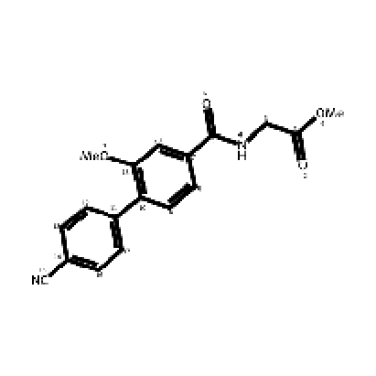 COC(=O)CNC(=O)c1ccc(-c2ccc(C#N)cc2)c(OC)c1